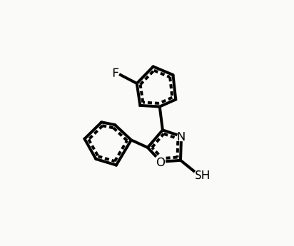 Fc1cccc(-c2nc(S)oc2-c2ccccc2)c1